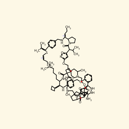 CC/C=C\SC(=C(C)C)c1ccc(CN/C(=C/CC)C2CCCN2C(=O)C(c2cc(OCCN3CCN(CCOc4cc(N5C6CCC5CN(C5=C(N)NNC(c7ccccc7OCc7ccc(NC(=C8CCC8)C(CCCCN(C)C)NC(=O)C8(C(=O)NCCN(C)CCN9C(=O)C=CC9=O)CCC8)cc7)=C5)C6)ccn4)C(C)C3)no2)C(C)C)cc1